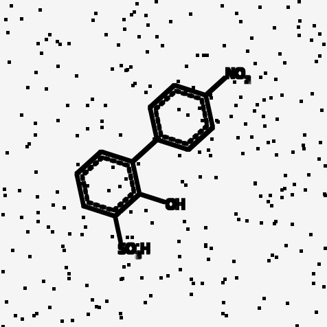 O=[N+]([O-])c1ccc(-c2cccc(S(=O)(=O)O)c2O)cc1